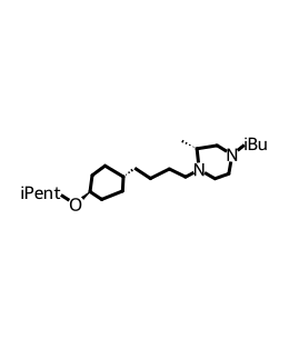 CCCC(C)O[C@H]1CC[C@H](CCCCN2CCN(C(C)CC)C[C@H]2C)CC1